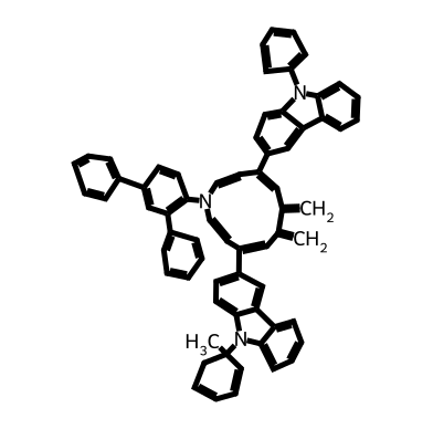 C=C1/C=C(c2ccc3c(c2)c2ccccc2n3-c2ccccc2)\C=C/N(c2ccc(-c3ccccc3)cc2-c2ccccc2)/C=C\C(c2ccc3c(c2)c2ccccc2n3C2(C)C=CC=CC2)=C/C1=C